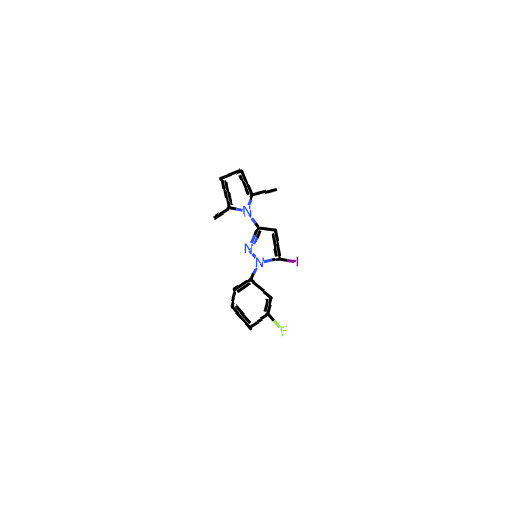 Cc1ccc(C)n1-c1cc(I)n(-c2cccc(F)c2)n1